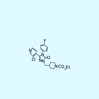 CCOC(=O)N1CCC(Cn2nc(-c3ccncc3Cl)n(-c3ccc(F)cc3)c2=O)CC1